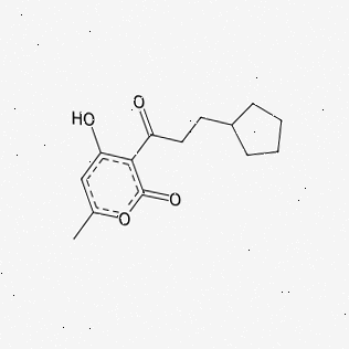 Cc1cc(O)c(C(=O)CCC2CCCC2)c(=O)o1